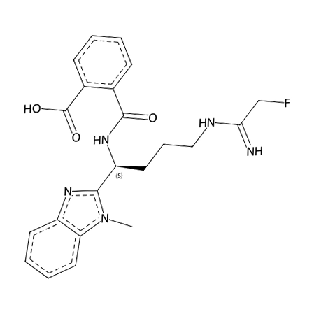 Cn1c([C@H](CCCNC(=N)CF)NC(=O)c2ccccc2C(=O)O)nc2ccccc21